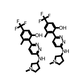 Cc1cc(C(F)(F)F)cc(O)c1-c1ccc(NC2CCN(C)C2)nn1.Cc1cc(C(F)(F)F)cc(O)c1-c1ccc(NC2CCN(C)C2)nn1